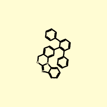 c1ccc(-c2cccc(-c3ccccc3)c2-c2ccc3c(c2)-n2c(nc4ccccc42)OC3)cc1